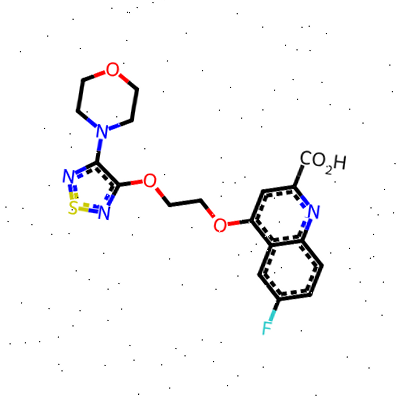 O=C(O)c1cc(OCCOc2nsnc2N2CCOCC2)c2cc(F)ccc2n1